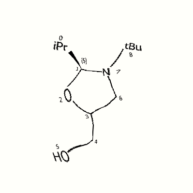 CC(C)[C@@H]1OC(CO)CN1C(C)(C)C